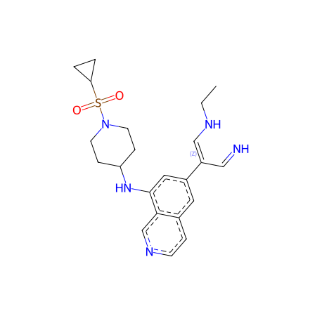 CCN/C=C(\C=N)c1cc(NC2CCN(S(=O)(=O)C3CC3)CC2)c2cnccc2c1